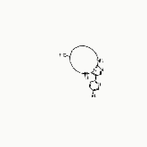 CCc1ccc(-c2cnc3nc2NCCCCC(O)CCCCCCCN3)nc1